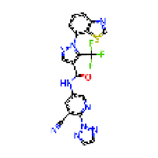 N#Cc1cc(NC(=O)c2cnn(-c3cccc4ncsc34)c2C(F)(F)F)cnc1-n1nccn1